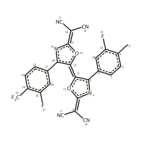 Cc1ccc(-c2nc(=C(C#N)C#N)o/c2=c2/oc(=C(C#N)C#N)nc2-c2ccc(C(F)(F)F)c(F)c2)cc1F